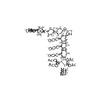 CC(=O)ON(CCN(OC(C)=O)OC(C)=O)OC(C)=O.CC(O)Oc1ccccc1.O=C([O-])c1ccccc1.O=C([O-])c1ccccc1.O=C([O-])c1ccccc1.O=C([O-])c1ccccc1.O=C([O-])c1ccccc1.[Na+].[Na+].[Na+].[Na+].[Na+]